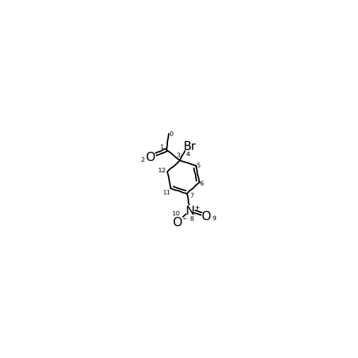 CC(=O)C1(Br)C=CC([N+](=O)[O-])=CC1